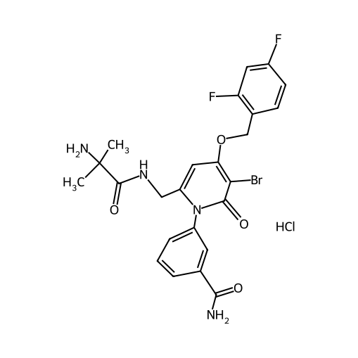 CC(C)(N)C(=O)NCc1cc(OCc2ccc(F)cc2F)c(Br)c(=O)n1-c1cccc(C(N)=O)c1.Cl